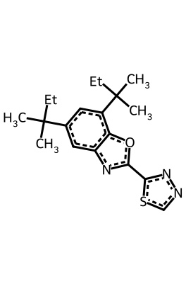 CCC(C)(C)c1cc(C(C)(C)CC)c2oc(-c3nncs3)nc2c1